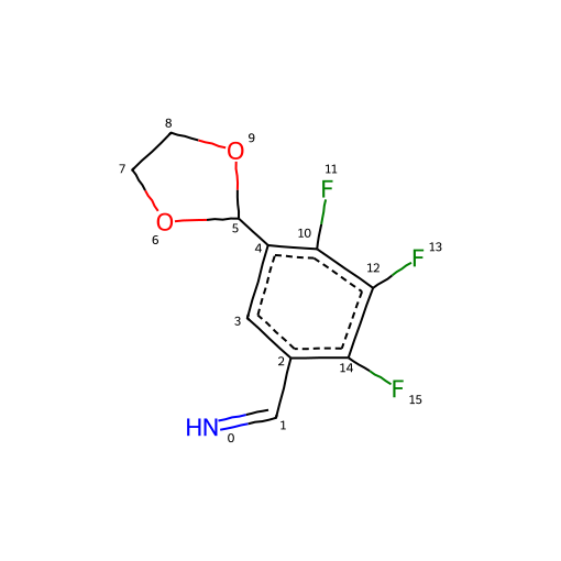 N=Cc1cc(C2OCCO2)c(F)c(F)c1F